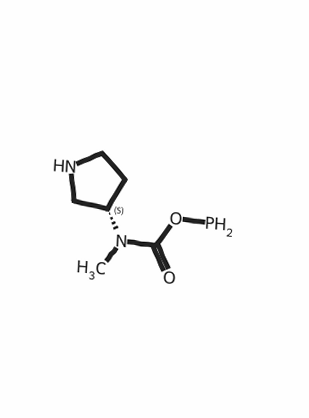 CN(C(=O)OP)[C@H]1CCNC1